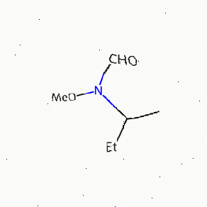 CCC(C)N([C]=O)OC